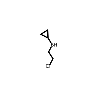 ClCCBC1CC1